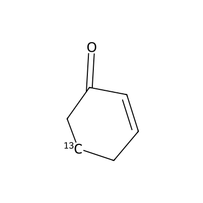 O=C1C=CC[13CH2]C1